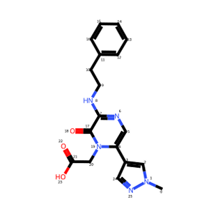 Cn1cc(-c2cnc(NCCc3ccccc3)c(=O)n2CC(=O)O)cn1